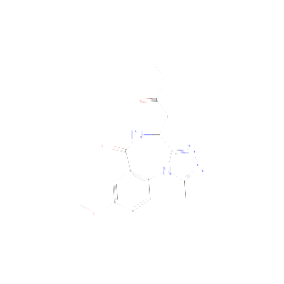 COC(=O)CC1NC(=O)c2cc(OC)ccc2-n2c(C)nnc21